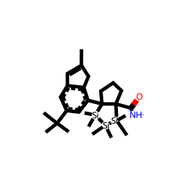 CC1=Cc2cc(C(C)(C)C)cc(C34CCCC3(C([NH])=O)[Si](C)(C)[Si](C)(C)[Si]4(C)C)c2C1